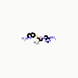 CC1CC(n2ccc3c(N)ncnc32)OC1CSc1ccc2ccc(N)nc2c1